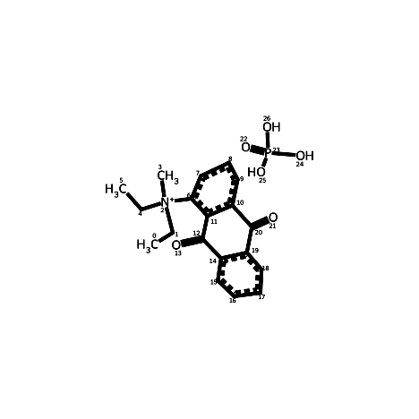 CC[N+](C)(CC)c1cccc2c1C(=O)c1ccccc1C2=O.O=P(O)(O)O